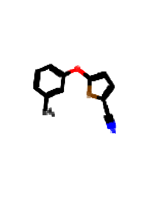 Cc1cccc(Oc2ccc(C#N)s2)c1